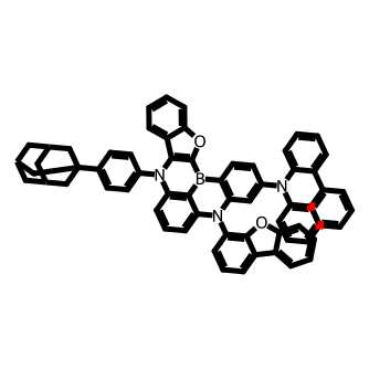 c1ccc(-c2ccccc2N(c2ccccc2)c2ccc3c(c2)N(c2cccc4c2oc2ccccc24)c2cccc4c2B3c2oc3ccccc3c2N4c2ccc(C34CC5CC(CC(C5)C3)C4)cc2)cc1